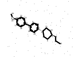 CCC[C@H]1CC[C@H](c2ccc(-c3ccc(OC)cc3)cc2)CC1